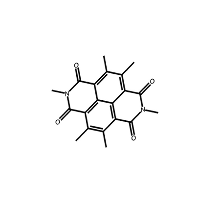 Cc1c(C)c2c3c(c(C)c(C)c4c3c1C(=O)N(C)C4=O)C(=O)N(C)C2=O